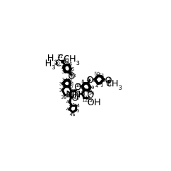 COc1ccc(Oc2ccc(C(CC(=O)O)NC(=O)C3c4cc(Oc5ccc(C(C)(C)C)cc5)ccc4CCN3C(=O)CC3CCCC3)cc2)cc1